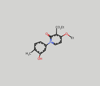 CCOC(=O)c1c(OCC)ccn(-c2ccc(C)c(O)c2)c1=O